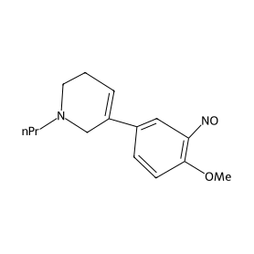 CCCN1CCC=C(c2ccc(OC)c(N=O)c2)C1